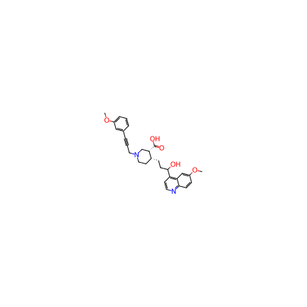 COc1cccc(C#CCN2CC[C@@H](CCC(O)c3ccnc4ccc(OC)cc34)[C@@H](C(=O)O)C2)c1